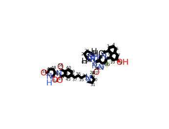 C#Cc1cccc2cc(O)cc(-c3ncc4c(N5C[C@H]6CC[C@@H](C5)N6)nc(OC[C@@H]5CCCN5CCCCc5ccc6c(c5)C(=O)N(C5CCC(=O)NC5=O)C6=O)nc4c3F)c12